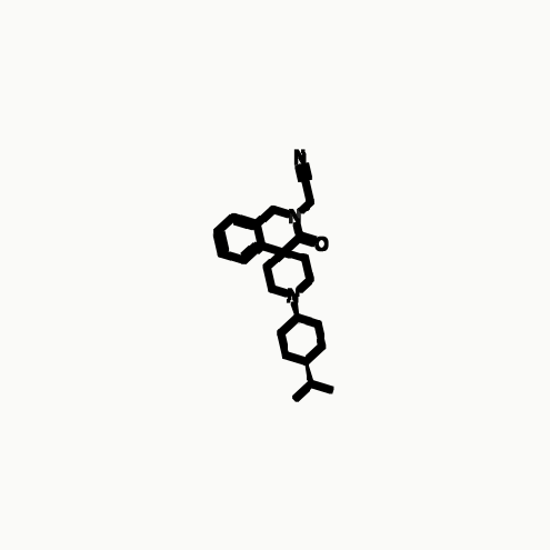 CC(C)[C@H]1CC[C@@H](N2CCC3(CC2)C(=O)N(CC#N)Cc2ccccc23)CC1